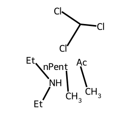 CC(C)=O.CCCCCC.CCNCC.ClC(Cl)Cl